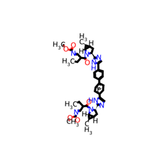 CCC(/C=N/C(=O)OC)C(=O)N1[C@@H]2[C@H](C)[C@@H]2C[C@H]1c1ncc(-c2ccc(C34CCC(c5cnc([C@@H]6C[C@H]7[C@@H](C)[C@H]7N6C(=O)C(/C=N/C(=O)OC)CC)[nH]5)(CC3)CC4)cc2)[nH]1